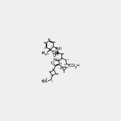 CC(C)(C)CC1CC(c2onc(C(CCC(=O)O)CC(=O)NC3C=CC=CC3(C)C)c2C2CC2)C1